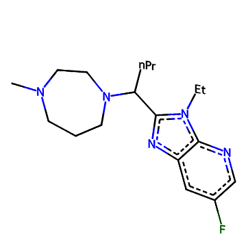 CCCC(c1nc2cc(F)cnc2n1CC)N1CCCN(C)CC1